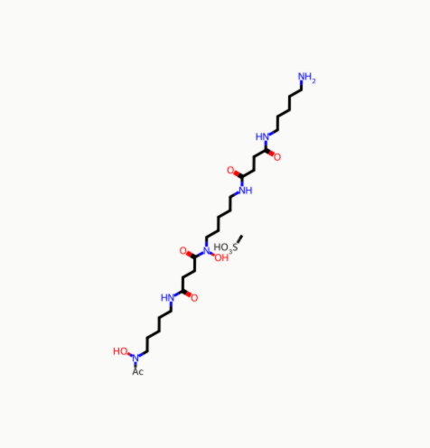 CC(=O)N(O)CCCCCNC(=O)CCC(=O)N(O)CCCCCNC(=O)CCC(=O)NCCCCCN.CS(=O)(=O)O